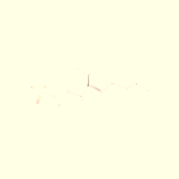 CCCC/C=C(\CC)CCOS(C)(=O)=O